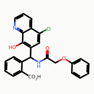 O=C(COc1ccccc1)NC(c1ccccc1C(=O)O)c1cc(Cl)c2cccnc2c1O